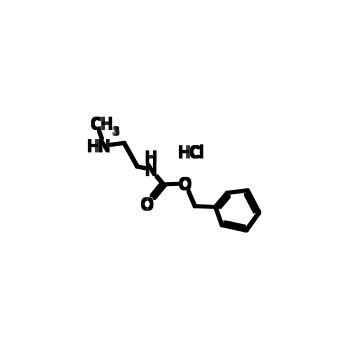 CNCCNC(=O)OCc1ccccc1.Cl